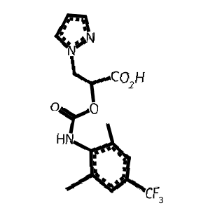 Cc1cc(C(F)(F)F)cc(C)c1NC(=O)OC(Cn1cccn1)C(=O)O